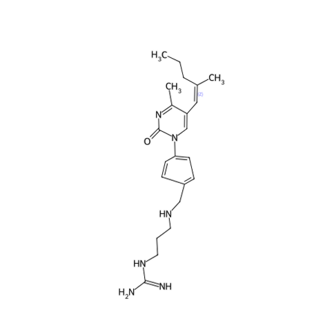 CCC/C(C)=C\c1cn(-c2ccc(CNCCCNC(=N)N)cc2)c(=O)nc1C